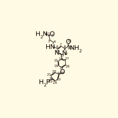 NC(=O)CCNc1cc(C(N)=O)nc(-c2ccc(Oc3ccc(P)cc3)cc2)n1